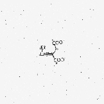 C=C(CC(=O)[O-])C(=O)[O-].C[CH2][La+2]